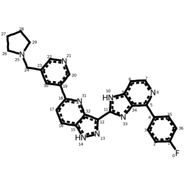 Fc1ccc(-c2nccc3[nH]c(-c4n[nH]c5ccc(-c6cncc(CN7CCCC7)c6)nc45)nc23)cc1